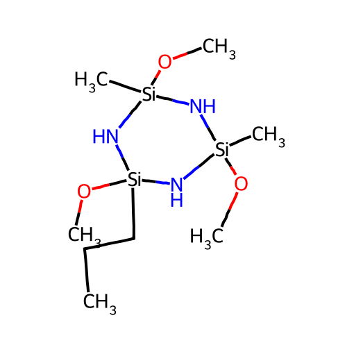 CCC[Si]1(OC)N[Si](C)(OC)N[Si](C)(OC)N1